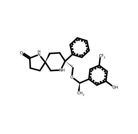 C[C@@H](OC[C@@]1(c2ccccc2)CC[C@]2(CCC(=O)N2)CN1)c1cc(O)cc(C(F)(F)F)c1